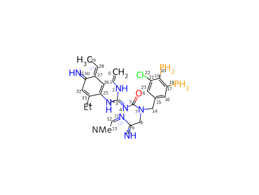 C=CN/C(=N\C(=O)N(CC(=N)/N=C\NC)Cc1cc(P)c(P)c(Cl)c1)NC1=C/C(=C/C)C(=N)C=C1CC